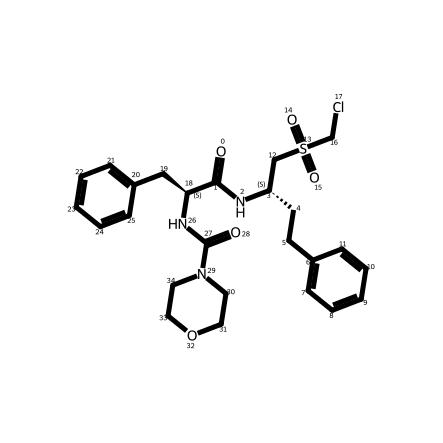 O=C(N[C@@H](CCc1ccccc1)CS(=O)(=O)CCl)[C@H](Cc1ccccc1)NC(=O)N1CCOCC1